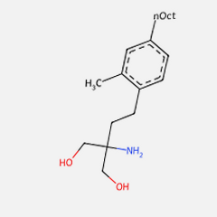 CCCCCCCCc1ccc(CCC(N)(CO)CO)c(C)c1